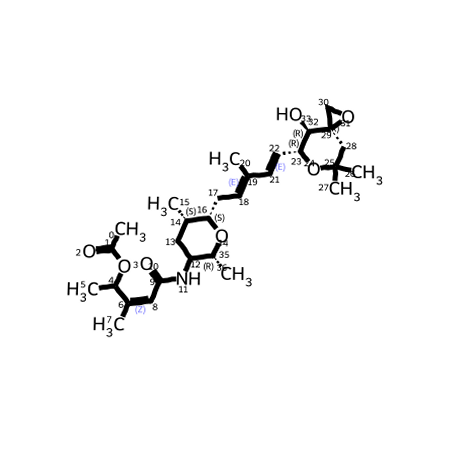 CC(=O)OC(C)/C(C)=C\C(=O)NC1C[C@H](C)[C@H](C/C=C(C)/C=C/[C@H]2OC(C)(C)C[C@@]3(CO3)[C@@H]2O)O[C@@H]1C